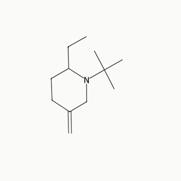 C=C1CCC(CC)N(C(C)(C)C)C1